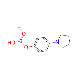 OB(OF)Oc1ccc(N2CCCC2)cc1